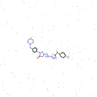 CC(c1ccc(Cl)cc1)c1nnc(NCC2CC(=O)N(c3ccc(CN4CCOCC4)cc3)C2)s1